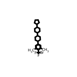 Cc1cc(C2CCC(C3CCC(C4CCCC4)CC3)CC2)cc(C)c1C(F)(F)Br